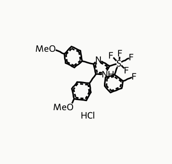 COc1ccc(-c2nc(S(F)(F)(F)(F)c3ccccc3F)[nH]c2-c2ccc(OC)cc2)cc1.Cl